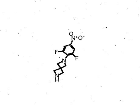 O=[N+]([O-])c1cc(F)c(N2CC3(CNC3)C2)c(F)c1